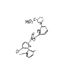 Cc1cccc(C)c1-c1nc(NSc2cccc(N3CCCC(C(=O)O)C3)n2)ccc1Cl